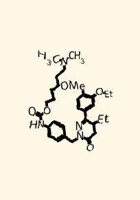 CCOc1cc(C2=NN(Cc3ccc(NC(=O)OCCCCCCN(C)C)cc3)C(=O)CC2CC)ccc1OC